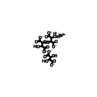 O=C([O-])C(O)C(O)C(=O)[O-].O=C([O-])C(O)C(O)C(=O)[O-].O=C([O-])C(O)C(O)C(=O)[O-].[In+3].[In+3]